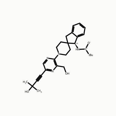 CC(C)(O)C#Cc1cnc(N2CCC3(CC2)Cc2ccccc2[C@H]3N[S+]([O-])C(C)(C)C)c(CO)n1